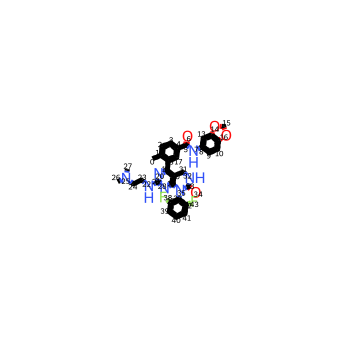 Cc1ccc(C(=O)Nc2ccc3c(c2)OCO3)cc1-c1nc(NCCN(C)C)nc2c1CNC(=O)N2c1c(F)cccc1F